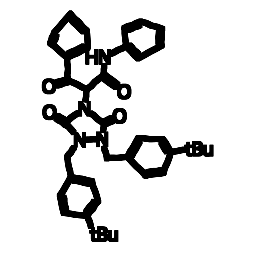 CC(C)(C)c1ccc(Cn2c(=O)n(C(C(=O)Nc3ccccc3)C(=O)c3ccccc3)c(=O)n2Cc2ccc(C(C)(C)C)cc2)cc1